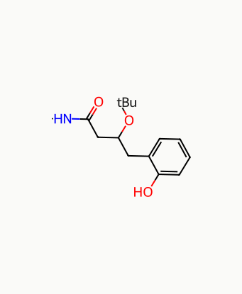 CC(C)(C)OC(CC([NH])=O)Cc1ccccc1O